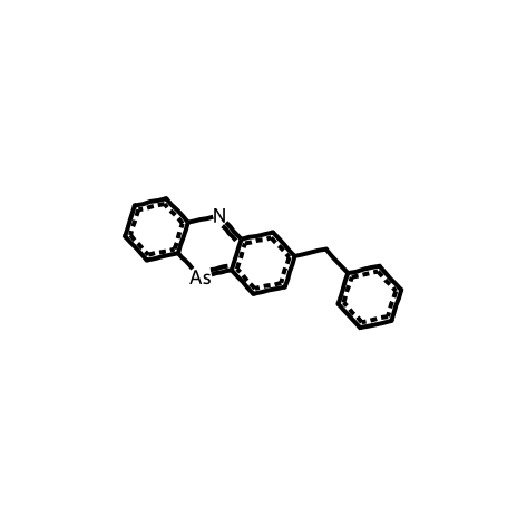 c1ccc(Cc2ccc3c(c2)=Nc2ccccc2[As]=3)cc1